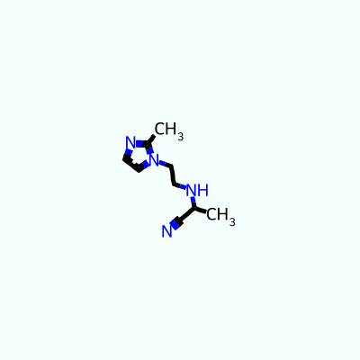 Cc1nccn1CCNC(C)C#N